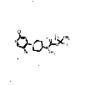 CN(C(=O)OC(C)(C)C)C1CCN(c2nc(Cl)ncc2Br)CC1